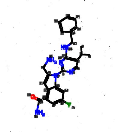 CC(C)c1cnc(-n2c(CN)cc3c(C(N)=O)cc(F)cc32)nc1NCc1ccccc1